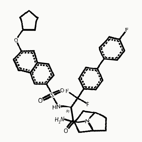 NC1CC2CCC(C1)N2C(=O)[C@@H](NS(=O)(=O)c1ccc2cc(OC3CCCC3)ccc2c1)C(F)(F)c1ccc(-c2ccc(F)cc2)cc1